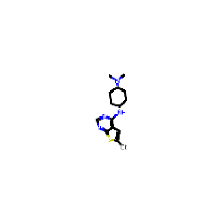 CCc1cc2c(N[C@H]3CC[C@H](N(C)C)CC3)ncnc2s1